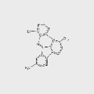 CCc1cccc(CC)c1N=C1c2cc(C)ccc2-c2ccc(C)cc21